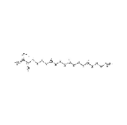 C=C(C)C(=O)OCCCOCCCOCCCOCCCOC